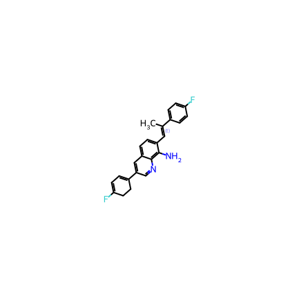 C/C(=C\c1ccc2cc(C3=CC=C(F)CC3)cnc2c1N)c1ccc(F)cc1